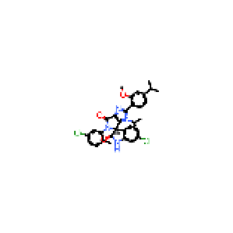 COc1cc(C(C)C)ccc1-c1nc2c(n1C(C)C)[C@]1(C(=O)Nc3cc(Cl)ccc31)N(c1cc(Cl)ccc1C)C2=O